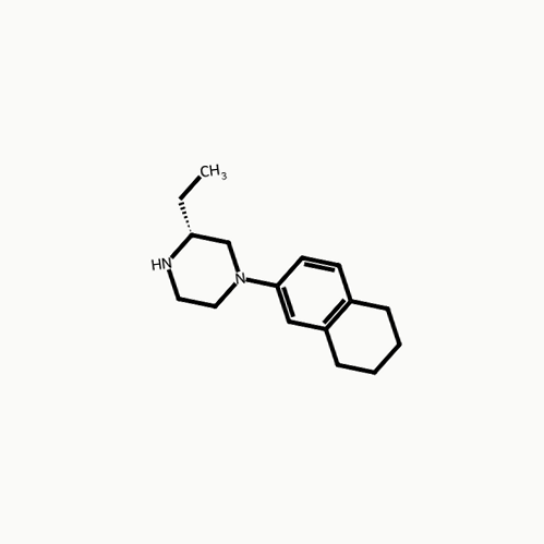 CC[C@@H]1CN(c2ccc3c(c2)CCCC3)CCN1